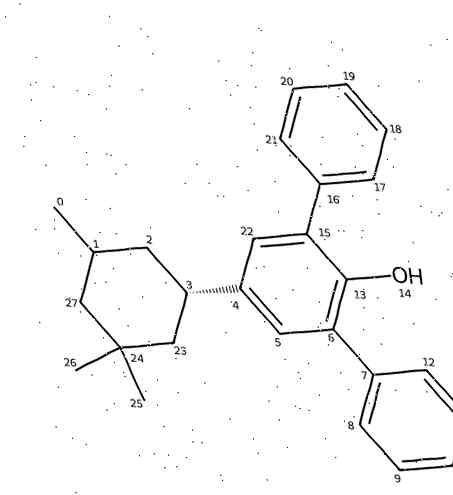 CC1C[C@H](c2cc(-c3ccccc3)c(O)c(-c3ccccc3)c2)CC(C)(C)C1